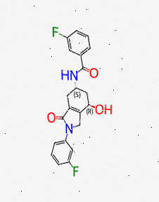 O=C(N[C@H]1CC2=C(CN(c3cccc(F)c3)C2=O)[C@H](O)C1)c1cccc(F)c1